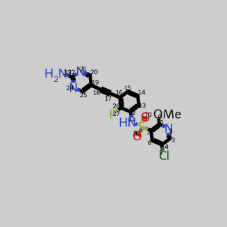 COc1ncc(Cl)cc1S(=O)(=O)Nc1cccc(C#Cc2cnc(N)nc2)c1F